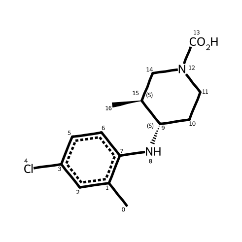 Cc1cc(Cl)ccc1N[C@H]1CCN(C(=O)O)C[C@@H]1C